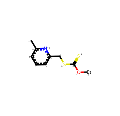 CCOC(=S)SCc1cccc(C)n1